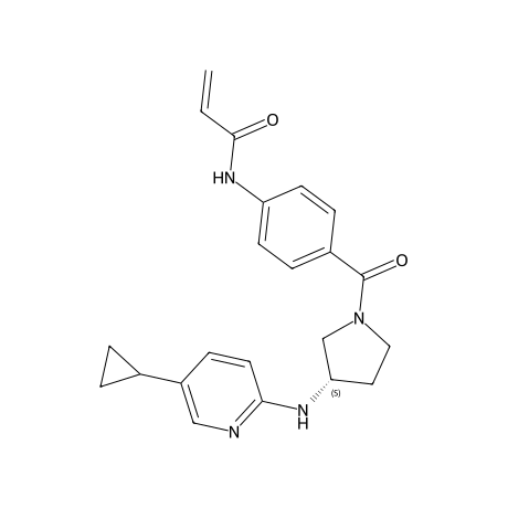 C=CC(=O)Nc1ccc(C(=O)N2CC[C@H](Nc3ccc(C4CC4)cn3)C2)cc1